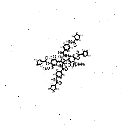 COc1cc(C2C(NC(=O)c3ccc(NC(=O)C4CCCC4)cc3)(C(=O)O)C(c3ccc(OC(=O)c4cccs4)c(OC)c3)C2(NC(=O)c2ccc(NC(=O)C3CCCC3)cc2)C(=O)O)ccc1OC(=O)c1cccs1